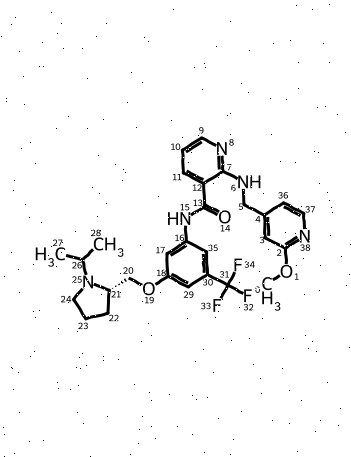 COc1cc(CNc2ncccc2C(=O)Nc2cc(OC[C@@H]3CCCN3C(C)C)cc(C(F)(F)F)c2)ccn1